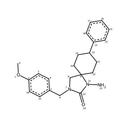 COc1ccc(CN2CC3(CCC(c4ccccc4)CC3)N(N)C2=O)cc1